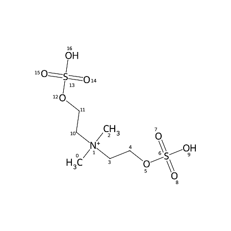 C[N+](C)(CCOS(=O)(=O)O)CCOS(=O)(=O)O